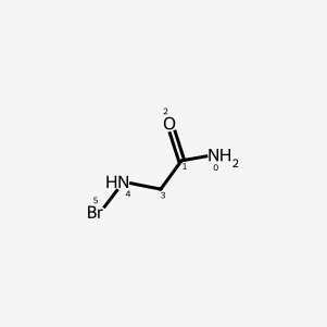 NC(=O)CNBr